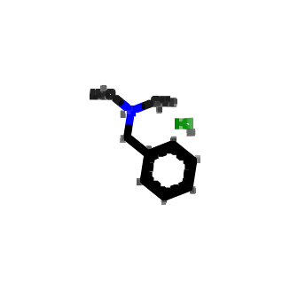 CON(Cc1ccccc1)OC.Cl